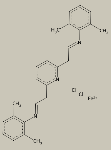 Cc1cccc(C)c1N=CCc1cccc(CC=Nc2c(C)cccc2C)n1.[Cl-].[Cl-].[Fe+2]